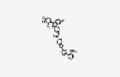 CNc1ccncc1-c1nnc(C2CC3(CCN(C(=O)CN4CCC5(CC4)C(=O)N(C4CCC(=O)NC4=O)c4ccc(F)cc45)CC3)C2)s1